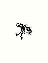 COc1ccc2c(C(=O)c3ccc(CO)nc3)nn(CC(=O)N(CCC(C)C)CCC(C)C)c2c1